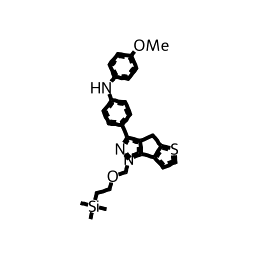 COc1ccc(Nc2ccc(-c3nn(COCC[Si](C)(C)C)c4c3Cc3sccc3-4)cc2)cc1